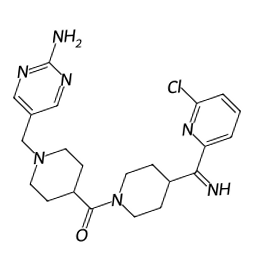 N=C(c1cccc(Cl)n1)C1CCN(C(=O)C2CCN(Cc3cnc(N)nc3)CC2)CC1